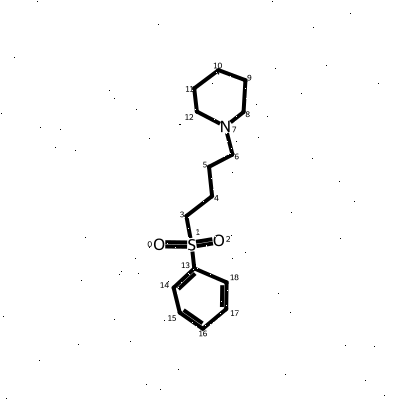 O=S(=O)(CCCCN1CC[CH]CC1)c1ccccc1